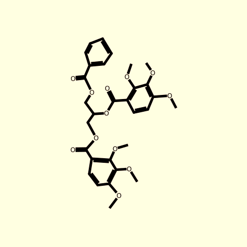 COc1ccc(C(=O)OCC(COC(=O)c2ccccc2)OC(=O)c2ccc(OC)c(OC)c2OC)c(OC)c1OC